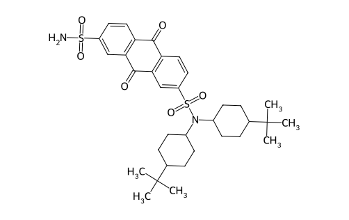 CC(C)(C)C1CCC(N(C2CCC(C(C)(C)C)CC2)S(=O)(=O)c2ccc3c(c2)C(=O)c2cc(S(N)(=O)=O)ccc2C3=O)CC1